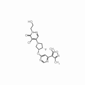 Cc1noc(C)c1-c1cc(O[C@H]2CN(c3cnn(CCO)c(=O)c3Cl)C[C@@H]2F)ncn1